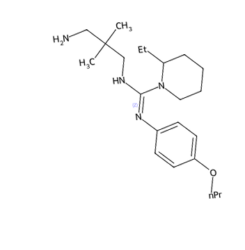 CCCOc1ccc(/N=C(/NCC(C)(C)CN)N2CCCCC2CC)cc1